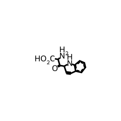 NC(C(=O)O)C(=O)C1C#Cc2ccccc2N1